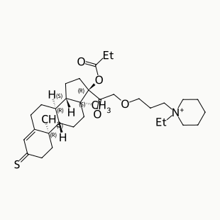 CCC(=O)O[C@]1(C(=O)COCCC[N+]2(CC)CCCCC2)CC[C@H]2[C@@H]3CCC4=CC(=S)CC[C@]4(C)[C@H]3CC[C@@]21C